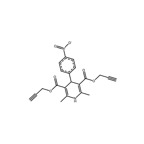 C#CCOC(=O)C1=C(C)NC(C)=C(C(=O)OCC#C)C1c1ccc([N+](=O)[O-])cc1